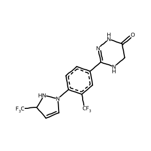 O=C1CNC(c2ccc(N3C=CC(C(F)(F)F)N3)c(C(F)(F)F)c2)=NN1